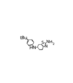 CC(C)(C)c1ccc(NC2CCc3nc(N)sc3C2)cc1